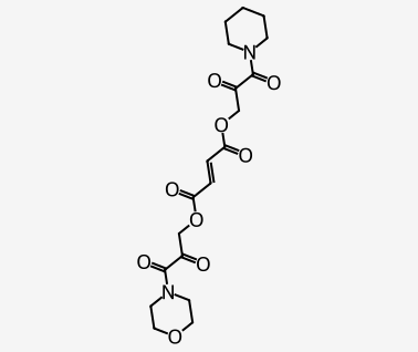 O=C(/C=C/C(=O)OCC(=O)C(=O)N1CCOCC1)OCC(=O)C(=O)N1CCCCC1